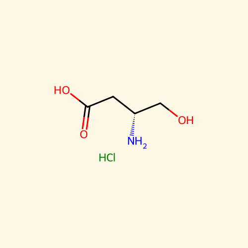 Cl.N[C@@H](CO)CC(=O)O